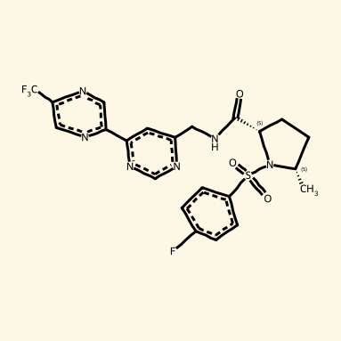 C[C@H]1CC[C@@H](C(=O)NCc2cc(-c3cnc(C(F)(F)F)cn3)ncn2)N1S(=O)(=O)c1ccc(F)cc1